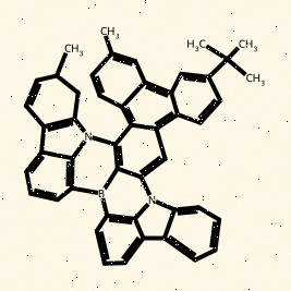 Cc1ccc2c(c1)c1cc(C(C)(C)C)ccc1c1cc3c4c(c21)-n1c2c(c5cccc(c51)B4c1cccc4c5ccccc5n-3c14)C=CC(C)C2